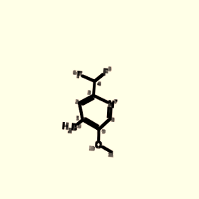 Bc1cc(C(F)F)ncc1OC